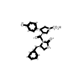 O=C(O)N1C[C@@H](C(=O)N2C(=O)OC[C@H]2Cc2ccccc2)[C@H](c2ccc(Cl)cc2)C1